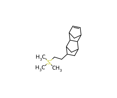 CS(C)(C)CCC1CC2CC1C1C3C=CC(C3)C21